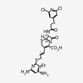 CC[n+]1c(N)cc(N)nc1SC/C=C/C1=C(C(=O)O)N2C(=O)[C@@H](NC(=O)CSc3cc(Cl)nc(Cl)c3)[C@H]2SC1